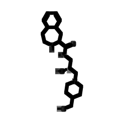 O=C(NC[C@@H](O)CN1CCC(CO)CC1)C1CC2C=CC=CC2CCN1